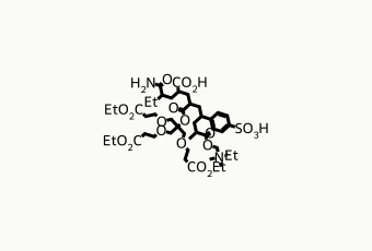 CCOC(=O)CCOCC(COCCC(=O)OCC)(COCCC(=O)OCC)OC(=O)C(CC(CC(CC)C(N)=O)C(=O)O)CC(CC(C)C(=O)OC[N+](C)(C)CC)c1ccc(S(=O)(=O)O)cc1